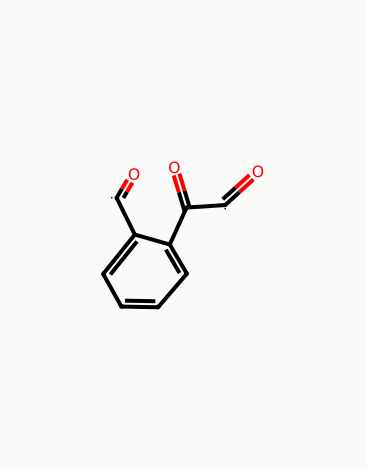 O=[C]C(=O)c1ccccc1[C]=O